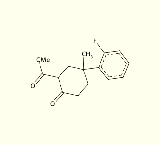 COC(=O)C1CC(C)(c2ccccc2F)CCC1=O